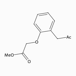 COC(=O)COc1ccccc1CC(C)=O